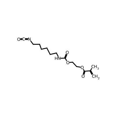 C=C(C)C(=O)OCCOC(=O)NCCCCCCN=C=O